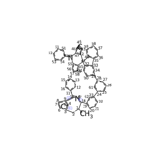 CC1C\C=c2/cccc/c2=C(c2ccccc2)/N=C\1c1cccc(-c2cccc(-c3ccc4c(c3)-c3ccccc3C43c4ccccc4N(c4ccccc4)c4ccccc43)c2)c1